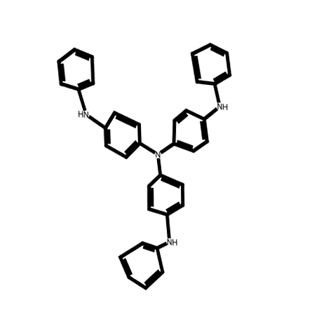 c1ccc(Nc2ccc(N(c3ccc(Nc4ccccc4)cc3)c3ccc(Nc4ccccc4)cc3)cc2)cc1